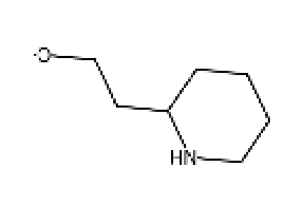 [O]CCC1CCCCN1